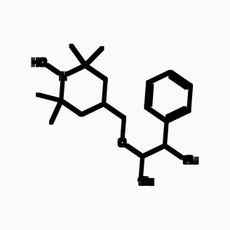 CC(C)(C)C(OCC1CC(C)(C)N(O)C(C)(C)C1)C(c1ccccc1)C(C)(C)C